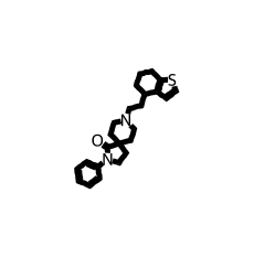 O=C1N(c2ccccc2)CCC12CCN(CCC1CCCc3sccc31)CC2